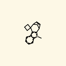 Cn1c2c(c3ccccc31)C1(CCC1)C1C=CC2C1